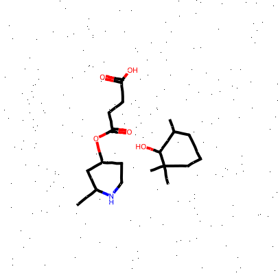 CC1CC(OC(=O)CCC(=O)O)CCN1.CC1CCCC(C)(C)C1O